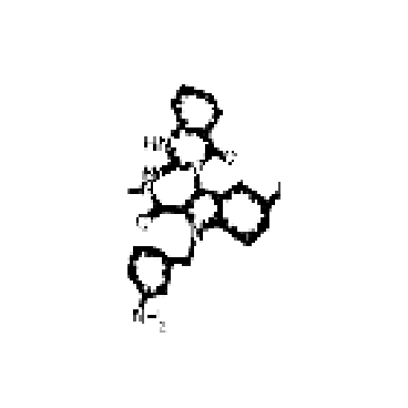 CNC(=O)c1c(-n2c(=O)[nH]c3ccccc3c2=O)c2cc(I)ccc2n1Cc1cccc(N)c1